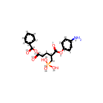 Nc1ccc(OC(=O)C(CCC(=O)OC(=O)c2ccccc2)CP(=O)(O)O)cc1